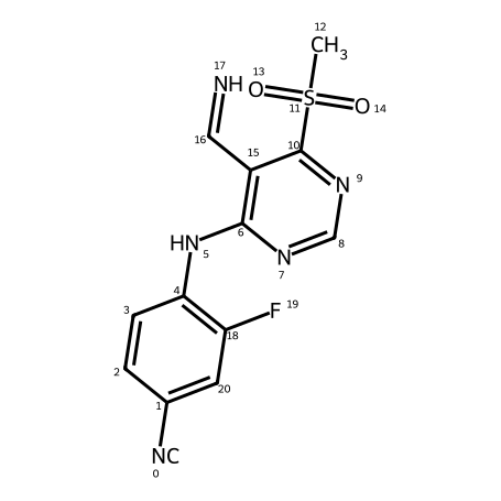 [C-]#[N+]c1ccc(Nc2ncnc(S(C)(=O)=O)c2C=N)c(F)c1